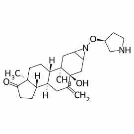 C=C1C[C@H]2[C@@H]3CCC(=O)[C@@]3(C)CC[C@@H]2[C@@]2(C)CC3C(C[C@]12O)N3O[C@H]1CCNC1